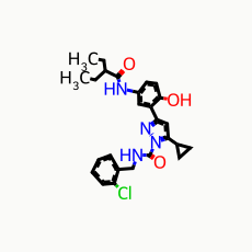 CCC(CC)C(=O)Nc1ccc(O)c(-c2cc(C3CC3)n(C(=O)NCc3ccccc3Cl)n2)c1